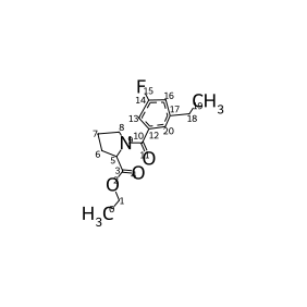 CCOC(=O)C1CCCN1C(=O)c1cc(F)cc(CC)c1